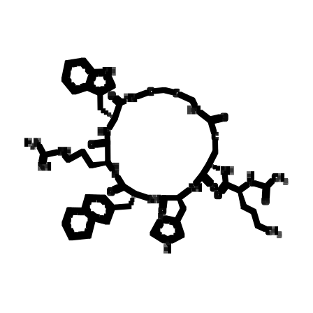 CCCC[C@H](NC(C)=O)C(=O)N[C@H]1CCC(=O)NCCCCNC(=O)[C@@H](Cc2c[nH]c3ccccc23)NC(=O)[C@H](CCCNC(=N)N)NC(=O)[C@@H](Cc2ccc3ccccc3c2)NC(=O)[C@H](Cc2c[nH]cn2)NC1=O